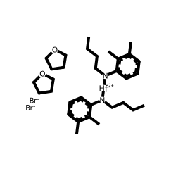 C1CCOC1.C1CCOC1.CCCC[N]([Hf+2][N](CCCC)c1cccc(C)c1C)c1cccc(C)c1C.[Br-].[Br-]